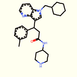 Cc1cccc(C(CC(=O)NC2CCNCC2)c2cn(CC3CCCCC3)c3cccnc23)c1